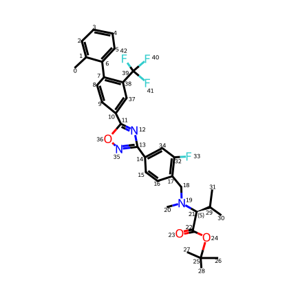 Cc1ccccc1-c1ccc(-c2nc(-c3ccc(CN(C)[C@H](C(=O)OC(C)(C)C)C(C)C)c(F)c3)no2)cc1C(F)(F)F